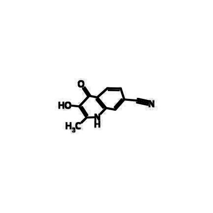 Cc1[nH]c2cc(C#N)ccc2c(=O)c1O